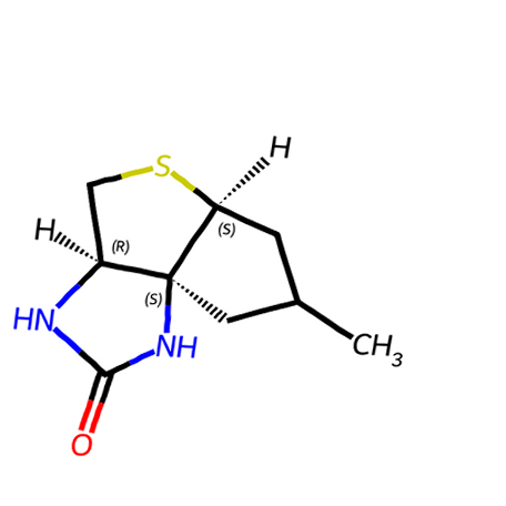 CC1C[C@@H]2SC[C@@H]3NC(=O)N[C@@]32C1